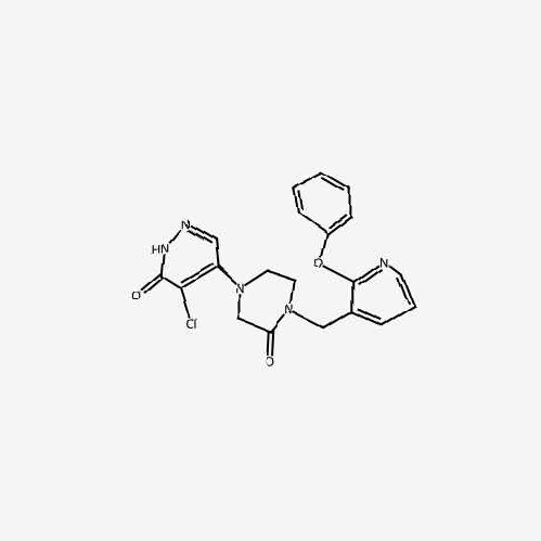 O=C1CN(c2cn[nH]c(=O)c2Cl)CCN1Cc1cccnc1Oc1ccccc1